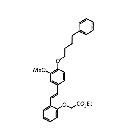 CCOC(=O)COc1ccccc1/C=C/c1ccc(OCCCCc2ccccc2)c(OC)c1